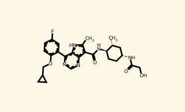 Cc1[nH]c2c(-c3cc(F)ccc3OCC3CC3)ncnc2c1C(=O)N[C@@H]1CC[C@@H](NC(=O)CO)C[C@H]1C